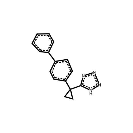 c1ccc(-c2ccc(C3(c4nnn[nH]4)CC3)cc2)cc1